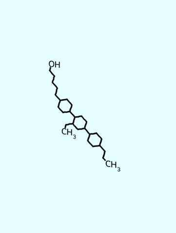 CCCC1CCC(C2CCC(C3CCC(CCCCCO)CC3)C(CC)C2)CC1